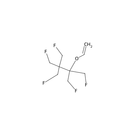 C=COC(CF)(CF)C(CF)(CF)CF